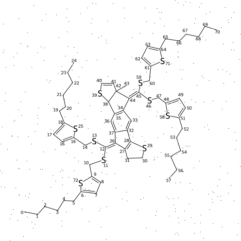 CCCCCCc1ccc(CSC(SCc2ccc(CCCCCC)s2)=C2C3=C(SCC3)c3cc4c(cc32)C2SC=CC2(C)C4=C(SCc2ccc(CCCCCC)s2)SCc2ccc(CCCCCC)s2)s1